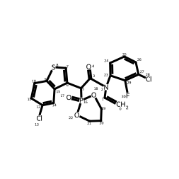 C=CN(C(=O)C(c1csc2ccc(Cl)cc12)P1(=O)OCCCO1)c1cccc(Cl)c1F